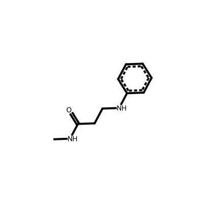 CNC(=O)CCNc1ccccc1